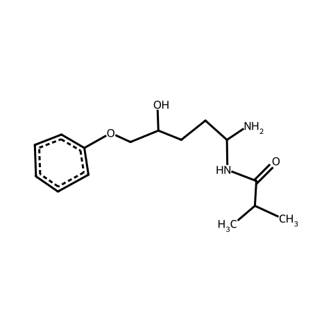 CC(C)C(=O)NC(N)CCC(O)COc1ccccc1